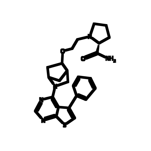 NC(=O)[C@H]1CCCN1CCOC1CC2CC1CN2c1ncnc2scc(-c3ccccc3)c12